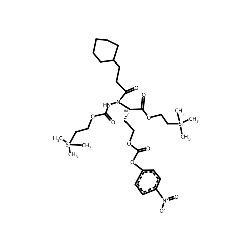 C[Si](C)(C)CCOC(=O)NN(C(=O)CCC1CCCCC1)[C@@H](CCOC(=O)Oc1ccc([N+](=O)[O-])cc1)C(=O)OCC[Si](C)(C)C